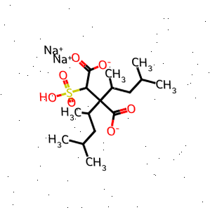 CC(C)CC(C)C(C(=O)[O-])(C(C)CC(C)C)C(C(=O)[O-])S(=O)(=O)O.[Na+].[Na+]